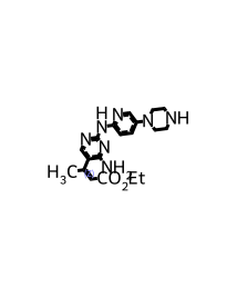 CCOC(=O)/C=C(/C)c1cnc(Nc2ccc(N3CCNCC3)cn2)nc1N